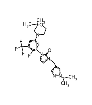 CC(C)n1cc(Cn2ccn(-c3nc(N4CCOC(C)(C)C4)cc(C(F)(F)F)c3F)c2=O)cn1